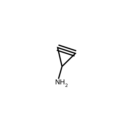 NC1C#C1